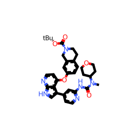 CN(C(=O)Nc1cc(-c2c[nH]c3nccc(Oc4ccc5c(c4)CN(C(=O)OC(C)(C)C)CC5)c23)ccn1)C1CCOCC1